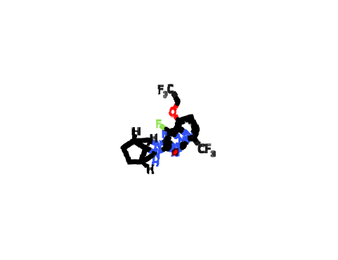 Fc1cncnc1N1C[C@H]2CC[C@@H](C1)[C@@H]2Nc1nc2c(OCC(F)(F)F)ccc(C(F)(F)F)n2n1